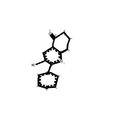 N#Cc1cc2c(nc1-c1ccccc1)CCCC2=O